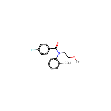 CCOCCN(C(=O)c1ccc(F)cc1)c1ccccc1C(=O)O